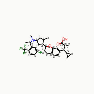 CC1CC(N(C)[C@H](C)c2cc(F)ccc2C(F)(F)F)CC1C1CCc2ccc(C(C3CC3)[C@H](C)C(=O)O)cc2O1